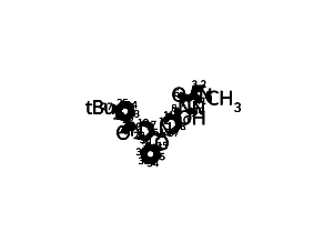 Cn1ccc2c(=O)n(CC3(O)CCN(C(=O)[C@@H]4CCN(C(=O)c5cccc(C(C)(C)C)c5)C[C@H]4c4ccccc4)CC3)cnc21